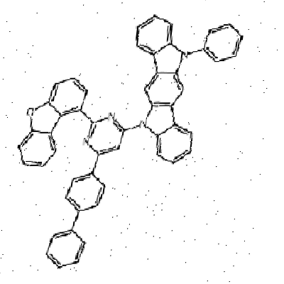 c1ccc(-c2ccc(-c3cc(-n4c5ccccc5c5cc6c(cc54)c4ccccc4n6-c4ccccc4)nc(-c4cccc5oc6ccccc6c45)n3)cc2)cc1